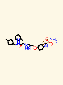 Cc1ccc(CNC(=O)[C@H](Cc2ccccc2)n2cc(COc3ccc4nc(S(N)(=O)=O)sc4c3)nn2)cc1